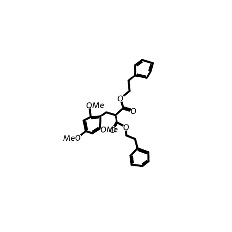 COc1cc(OC)c(CC(C(=O)OCCc2ccccc2)C(=O)OCCc2ccccc2)c(OC)c1